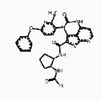 CCC(=O)N[C@H]1CCC[C@H]1NC(=O)c1sc2nccc3c2c1N(c1ccc(Oc2ccccc2)nc1C)C(=O)N3